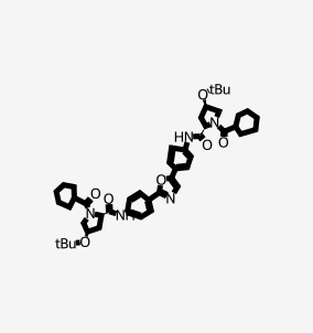 CC(C)(C)O[C@@H]1C[C@@H](C(=O)Nc2ccc(-c3cnc(-c4ccc(NC(=O)[C@@H]5C[C@@H](OC(C)(C)C)CN5C(=O)C5CCCCC5)cc4)o3)cc2)N(C(=O)C2CCCCC2)C1